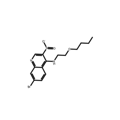 CCCCOCCNc1c([N+](=O)[O-])cnc2cc(Br)ccc12